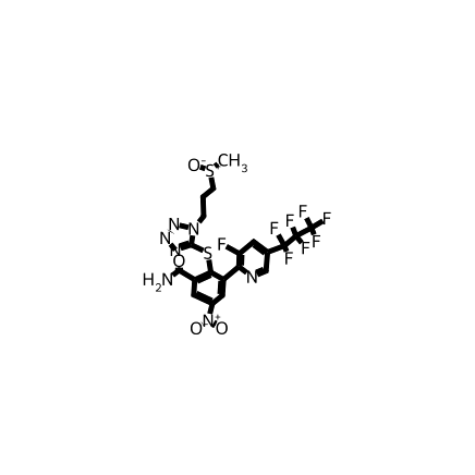 C[S+]([O-])CCCn1nnnc1Sc1c(C(N)=O)cc([N+](=O)[O-])cc1-c1ncc(C(F)(F)C(F)(F)C(F)(F)F)cc1F